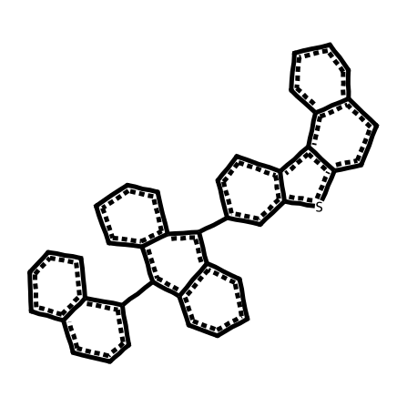 c1ccc2c(-c3c4ccccc4c(-c4ccc5c(c4)sc4ccc6ccccc6c45)c4ccccc34)cccc2c1